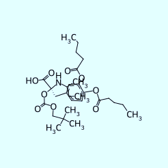 CCCCC(=O)Oc1ccc(C[C@](NC(C)CC)(OC(=O)OCC(C)(C)C)C(=O)O)cc1OC(=O)CCCC